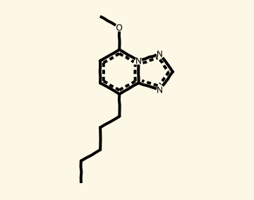 CCCCCc1ccc(OC)n2ncnc12